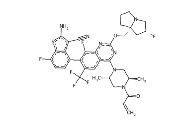 C=CC(=O)N1C[C@H](C)N(c2nc(OC[C@]34CCCN3C[C@H](F)C4)nc3c(F)c(-c4ccc(F)c5sc(N)c(C#N)c45)c(C(F)(F)F)cc23)C[C@H]1C